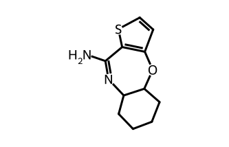 NC1=NC2CCCCC2Oc2ccsc21